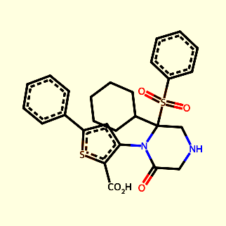 O=C(O)c1sc(-c2ccccc2)cc1N1C(=O)CNCC1(C1CCCCC1)S(=O)(=O)c1ccccc1